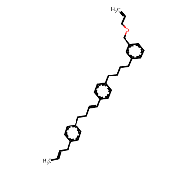 C=CCOCc1[c]ccc(CCCCc2ccc(C=CCCc3ccc(CC=CC)cc3)cc2)c1